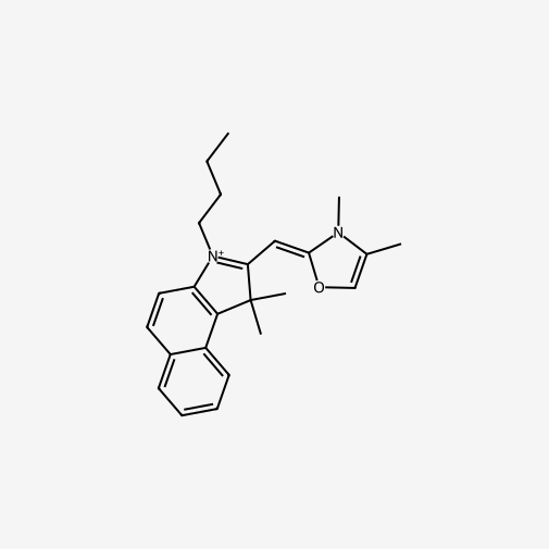 CCCC[N+]1=C(C=C2OC=C(C)N2C)C(C)(C)c2c1ccc1ccccc21